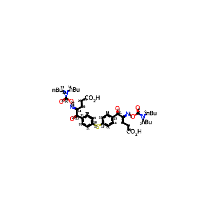 CCCCN(CCCC)C(=O)O/N=C(\CCC(=O)O)C(=O)c1ccc(Sc2ccc(C(=O)/C(CCC(=O)O)=N/OC(=O)N(CCCC)CCCC)cc2)cc1